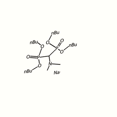 CCCCOP(=O)(OCCCC)C(N(C)C)P(=O)(OCCCC)OCCCC.[Na]